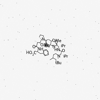 CC[C@H](C)[C@@H]([C@@H](CC(=O)N1CCC[C@H]1[C@H](OC)[C@@H](C)C(=O)NC(Cc1ccccc1)C(=O)O)OC)N(C)C(=O)[C@@H](NC(=O)[C@H](C(C)C)N(C)CCC(C)CC(C)(C)C)C(C)C